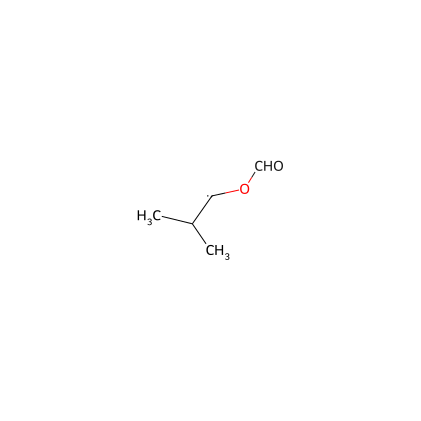 CC(C)[CH]OC=O